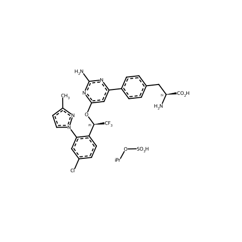 CC(C)OS(=O)(=O)O.Cc1ccn(-c2cc(Cl)ccc2[C@@H](Oc2cc(-c3ccc(C[C@H](N)C(=O)O)cc3)nc(N)n2)C(F)(F)F)n1